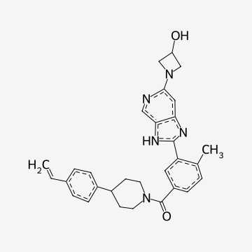 C=Cc1ccc(C2CCN(C(=O)c3ccc(C)c(-c4nc5cc(N6CC(O)C6)ncc5[nH]4)c3)CC2)cc1